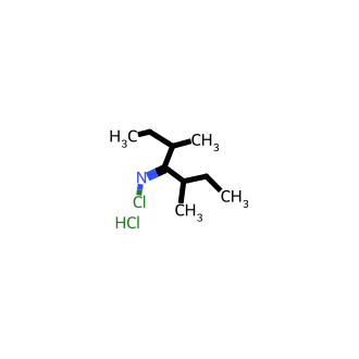 CCC(C)C(=NCl)C(C)CC.Cl